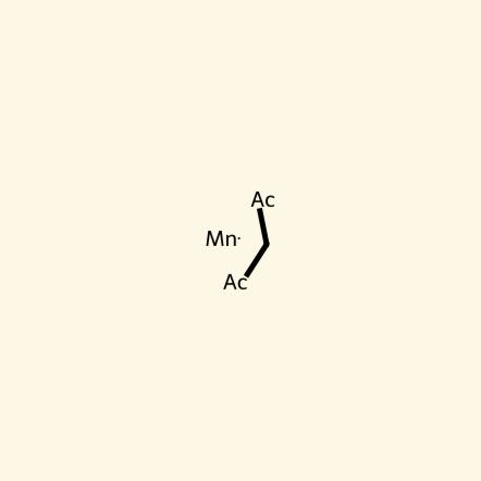 CC(=O)CC(C)=O.[Mn]